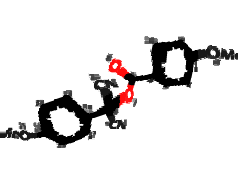 COc1ccc(C(=O)OC(C#N)(C#N)c2ccc(OC)cc2)cc1